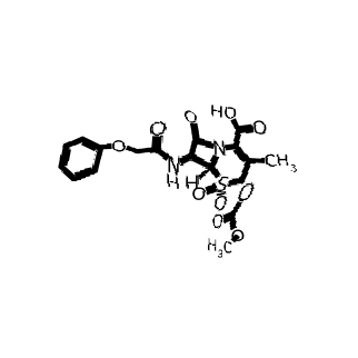 COC(=O)O[C@H]1C(C)=C(C(=O)O)N2C(=O)C(NC(=O)COc3ccccc3)[C@H]2S1(=O)=O